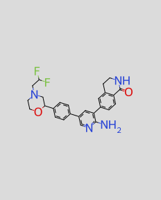 Nc1ncc(-c2ccc(C3CN(CC(F)F)CCO3)cc2)cc1-c1ccc2c(c1)CCNC2=O